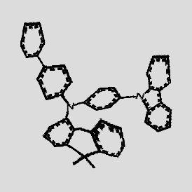 CC1(C)c2ccccc2-c2c(N(c3ccc(-c4ccccc4)cc3)c3ccc(-n4c5ccccc5c5ccccc54)cc3)cccc21